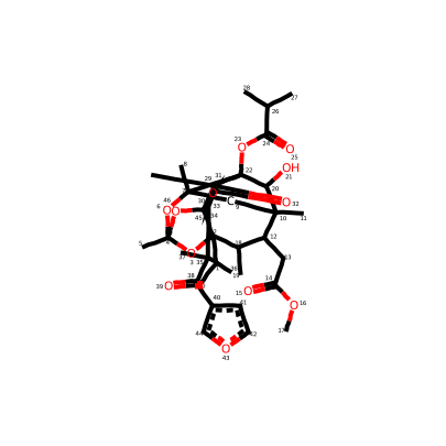 CCC12OC3(C)OC4(C)CC(C)(C(CC(=O)OC)C1C)C(O)C4(OC(=O)C(C)C)C1OC(=O)CC(C(C)(C)C(=O)c4ccoc4)C12O3